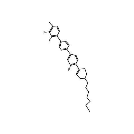 CCCCCCCC1CC=C(c2ccc(-c3ccc(-c4ccc(C)c(F)c4F)cc3)cc2F)CC1